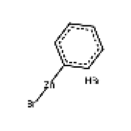 Br.[Br][Zn][c]1ccccc1